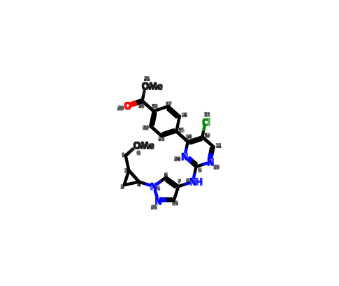 COCC1CC1n1cc(Nc2ncc(Cl)c(-c3ccc(C(=O)OC)cc3)n2)cn1